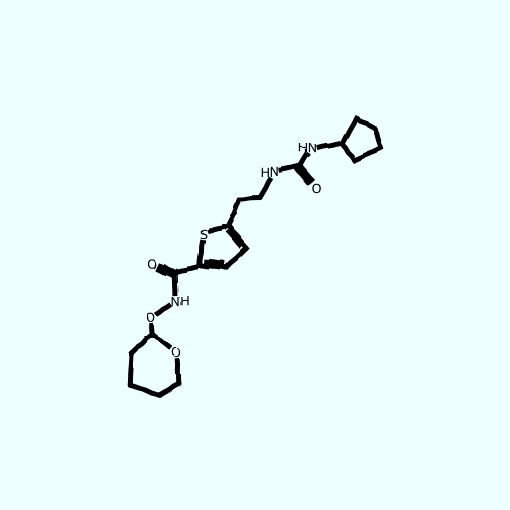 O=C(NCCc1ccc(C(=O)NOC2CCCCO2)s1)NC1CCCC1